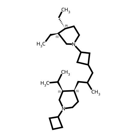 CC[C@@H]1CCN(C2CC(CC(C)C[C@H]3CCN(C4CCC4)C[C@H]3C(C)C)C2)C[C@H]1CC